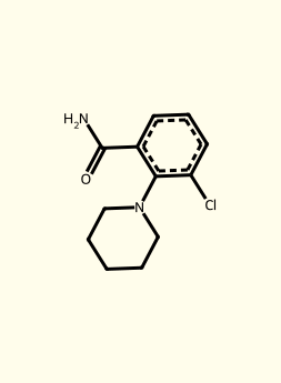 NC(=O)c1cccc(Cl)c1N1CCCCC1